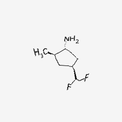 C[C@@H]1C[C@H](C(F)F)C[C@H]1N